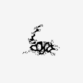 CCNC(=O)NCCc1noc([C@]23CCC(C)(C)C[C@H]2[C@H]2C(=O)C=C4[C@@]5(C)C=C(C#N)C(=O)C(C)(C)[C@@H]5CC[C@@]4(C)[C@]2(C)CC3)n1